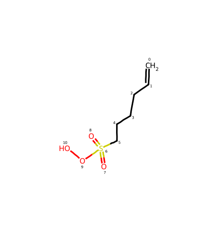 C=CCCCCS(=O)(=O)OO